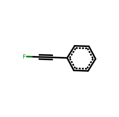 FC#Cc1ccccc1